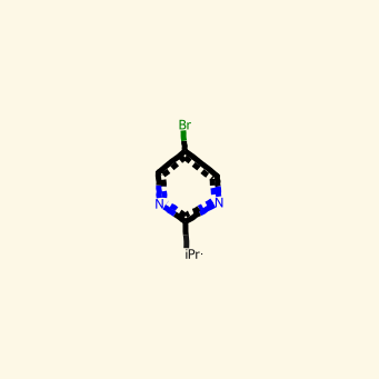 C[C](C)c1ncc(Br)cn1